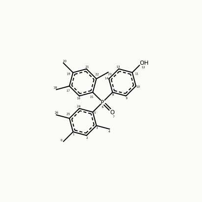 Cc1cc(C)c(P(=O)(c2ccc(O)cc2)c2cc(C)c(C)cc2C)cc1C